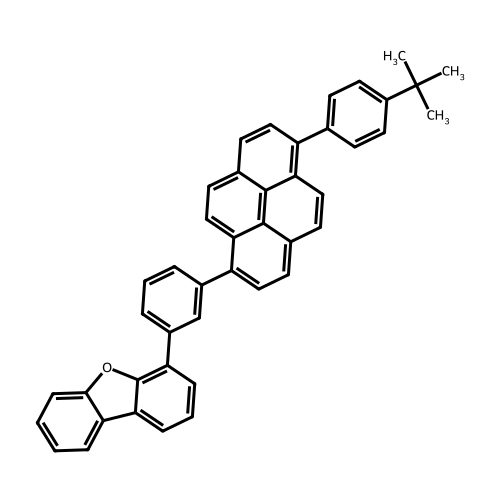 CC(C)(C)c1ccc(-c2ccc3ccc4c(-c5cccc(-c6cccc7c6oc6ccccc67)c5)ccc5ccc2c3c54)cc1